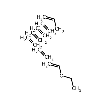 C=C.C=C.C=C.C=C.C=C.C=CC.C=COCC